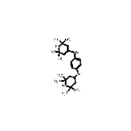 CC1(C)CC(Nc2ccc(NC3CC(C)(C)NC(C)(C)C3)cc2)CC(C)(C)N1